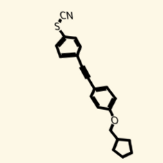 N#CSc1ccc(C#Cc2ccc(OCC3CCCC3)cc2)cc1